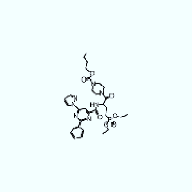 CCCCOC(=O)N1CCN(C(=O)C(CCP(=O)(OCC)OCC)NC(=O)c2cc(-n3cccn3)nc(-c3ccccc3)n2)CC1